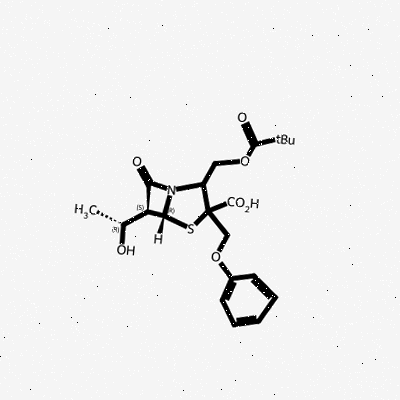 C[C@@H](O)[C@H]1C(=O)N2C(COC(=O)C(C)(C)C)C(COc3ccccc3)(C(=O)O)S[C@H]12